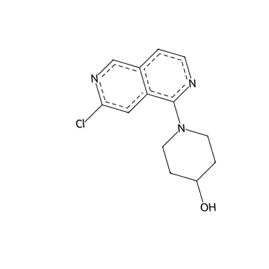 OC1CCN(c2nccc3cnc(Cl)cc23)CC1